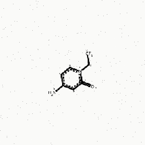 Nc1ccn(CC(F)(F)F)c(=O)c1